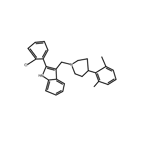 Cc1cccc(C)c1C1CCN(Cc2c(-c3ccccc3Cl)[nH]c3ccccc23)CC1